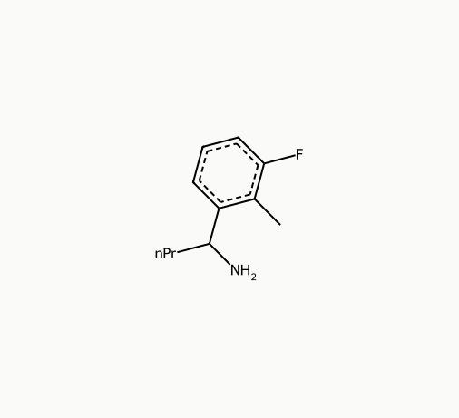 CCCC(N)c1cccc(F)c1C